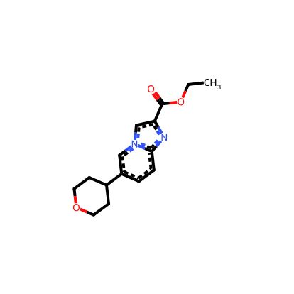 CCOC(=O)c1cn2cc(C3CCOCC3)ccc2n1